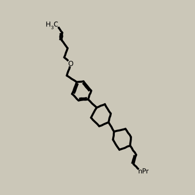 CC=CCCOCc1ccc(C2CCC(C3CCC(C=CCCC)CC3)CC2)cc1